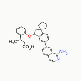 CC(CC(=O)O)c1ccccc1OC1CC2(CCCC2)c2ccc(-c3ccc4ccnc(N)c4c3)cc21